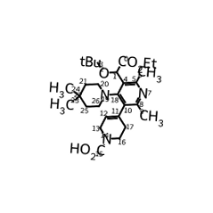 CCOC(=O)C(OC(C)(C)C)c1c(C)nc(C)c(C2=CCN(C(=O)O)CC2)c1N1CCC(C)(C)CC1